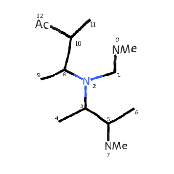 CNCN(C(C)C(C)NC)C(C)C(C)C(C)=O